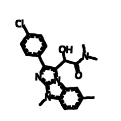 Cc1ccc2c(c1)n1c(C(O)C(=O)N(C)C)c(-c3ccc(Cl)cc3)nc1n2C